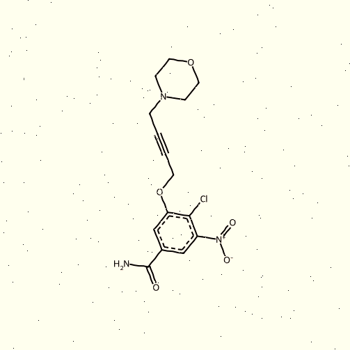 NC(=O)c1cc(OCC#CCN2CCOCC2)c(Cl)c([N+](=O)[O-])c1